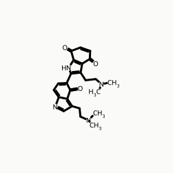 CN(C)CCC1=C2C(=O)C(c3[nH]c4c(c3CCN(C)C)C(=O)C=CC4=O)=CC=C2N=C1